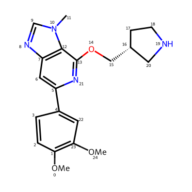 COc1ccc(-c2cc3ncn(C)c3c(OC[C@@H]3CCNC3)n2)cc1OC